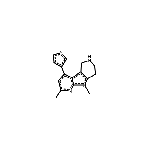 Cc1cc(-c2ccsc2)c2c3c(n(C)c2n1)CCNC3